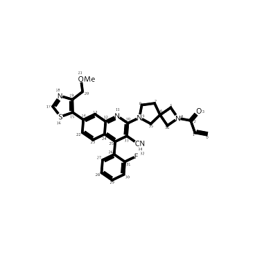 C=CC(=O)N1CC2(CCN(c3nc4cc(-c5scnc5COC)ccc4c(-c4ccccc4F)c3C#N)C2)C1